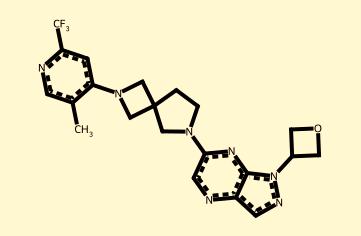 Cc1cnc(C(F)(F)F)cc1N1CC2(CCN(c3cnc4cnn(C5COC5)c4n3)C2)C1